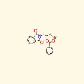 O=C(OC(CBr)CN1C(=O)c2ccccc2C1=O)c1ccccc1